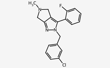 CN1Cc2nn(Cc3cccc(Cl)c3)c(-c3ccccc3F)c2C1